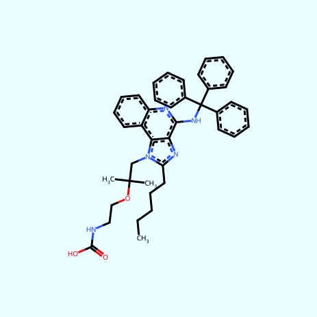 CCCCCc1nc2c(NC(c3ccccc3)(c3ccccc3)c3ccccc3)nc3ccccc3c2n1CC(C)(C)OCCNC(=O)O